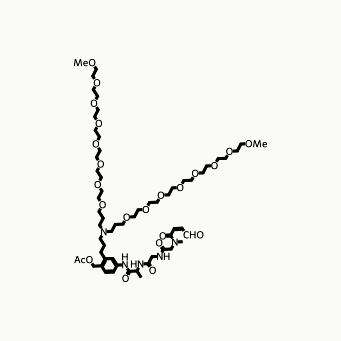 COCCOCCOCCOCCOCCOCCOCCOCCCN(CCCOCCOCCOCCOCCOCCOCCOCCOC)CCCc1cc(NC(=O)C(C)NC(=O)CNC(=O)CN(C)C(=O)/C=C\C=O)ccc1COC(C)=O